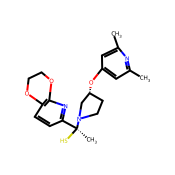 Cc1cc(O[C@@H]2CCN([C@@](C)(S)c3ccc4c(n3)OCCO4)C2)cc(C)n1